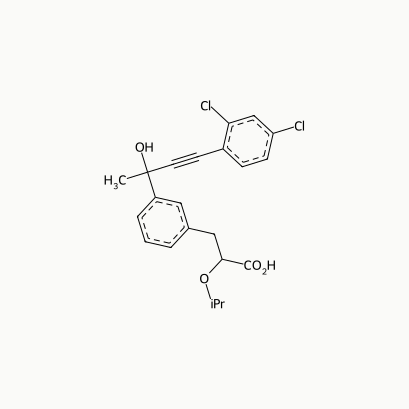 CC(C)OC(Cc1cccc(C(C)(O)C#Cc2ccc(Cl)cc2Cl)c1)C(=O)O